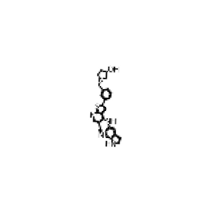 N#Cc1cnc2sc(-c3cccc(CN4CC[C@@H](O)C4)c3)cc2c1Nc1ccc2[nH]ccc2c1